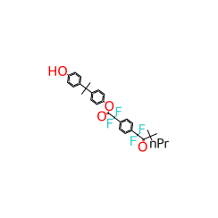 CCCC(C)(C)C(=O)C(F)(F)c1ccc(C(F)(F)C(=O)Oc2ccc(C(C)(C)c3ccc(O)cc3)cc2)cc1